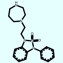 O=S1(=O)N(CCN2CCCNCC2)c2ccccc2N1c1ccccc1